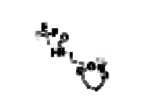 C[SiH]1OCCCC[Si](C)(CCCNC(=O)CC(F)(F)F)O1